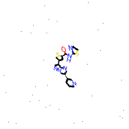 O=C(Nc1nccs1)c1cc(-c2cnn3cc(-c4cccnc4)cnc23)cs1